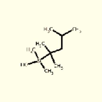 CC(C)CC(C)(C)[Si](C)(C)O